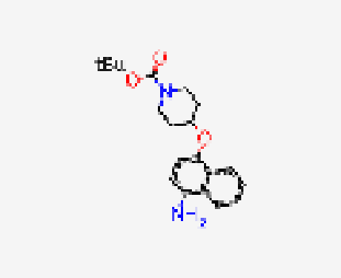 CC(C)(C)OC(=O)N1CCC(Oc2ccc(N)c3ccccc23)CC1